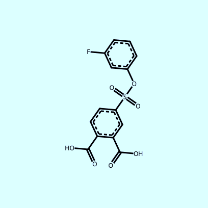 O=C(O)c1ccc(S(=O)(=O)Oc2cccc(F)c2)cc1C(=O)O